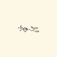 C/C=C(\C=C/C(C)C(F)C(F)F)CCC(CO)S(=O)O